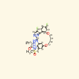 CC(C)[C@H](N)C(=O)N=S(C)(=O)Cc1cc2cc(c1)OCCCCOc1cc(F)ccc1-c1nc(ncc1F)N2